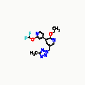 CCOc1ncc(Cn2nnc(C)n2)cc1-c1ccnc(OC(F)F)c1